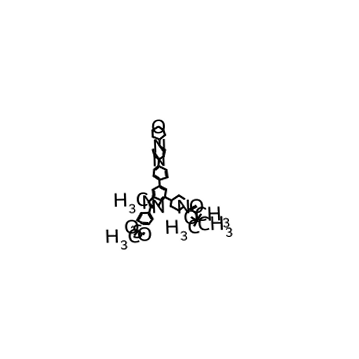 Cn1c(-c2ccc(S(C)(=O)=O)cc2)nc2c(C3CCN(C(=O)OC(C)(C)C)CC3)cc(-c3ccc(N4CCN(C5CCOCC5)CC4)cc3)cc21